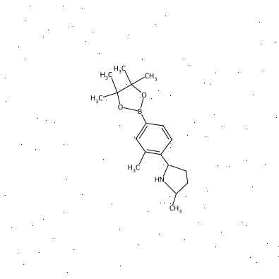 Cc1cc(B2OC(C)(C)C(C)(C)O2)ccc1C1CCC(C)N1